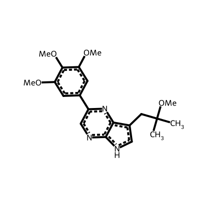 COc1cc(-c2cnc3[nH]cc(CC(C)(C)OC)c3n2)cc(OC)c1OC